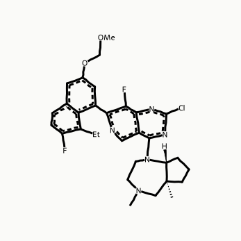 CCc1c(F)ccc2cc(OCOC)cc(-c3ncc4c(N5CCN(C)C[C@]6(C)CCC[C@@H]56)nc(Cl)nc4c3F)c12